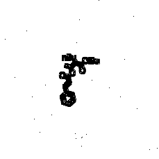 CCCCC(C(=O)OCC(C)C)C(C)OC(=O)/C=C/c1ccccc1